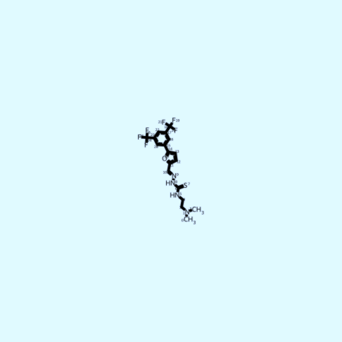 CN(C)CCNC(=S)N/N=C/c1ccc(-c2cc(C(F)(F)F)cc(C(F)(F)F)c2)o1